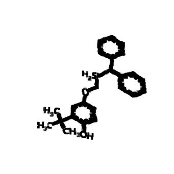 CC(C)(C)c1cc(OC[SiH2]C(c2ccccc2)c2ccccc2)ccc1O